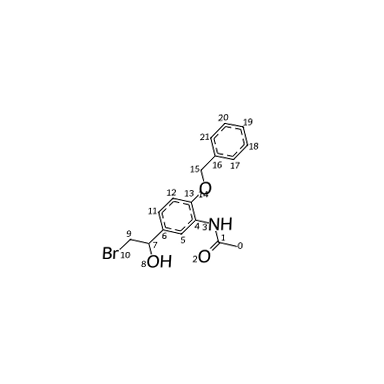 CC(=O)Nc1cc(C(O)CBr)ccc1OCc1ccccc1